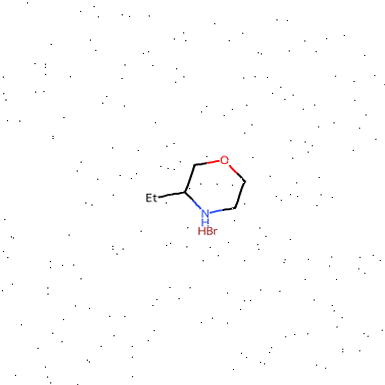 Br.CCC1COCCN1